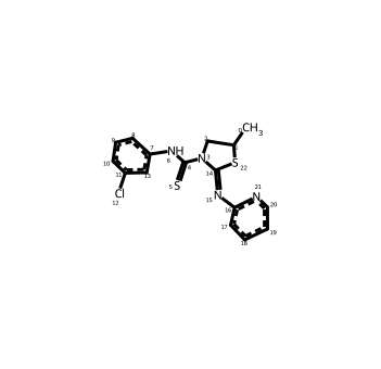 CC1CN(C(=S)Nc2cccc(Cl)c2)C(=Nc2ccccn2)S1